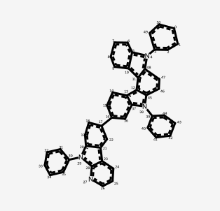 c1ccc(-n2c3ccccc3c3c4c5ccc(-c6ccc7c(c6)c6cccnc6n7-c6ccccc6)cc5n(-c5ccccc5)c4ccc32)cc1